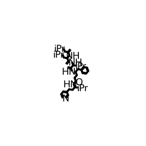 C=C(CC(C)C)NC(CC(C)C)C(=C)NC(C(=C)NC(CCC(=O)NC(CCc1cccnc1)C(C)C)Cc1ccccc1)C(C)C